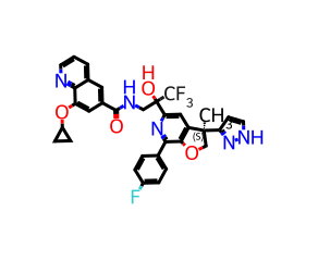 C[C@]1(c2cc[nH]n2)COc2c1cc(C(O)(CNC(=O)c1cc(OC3CC3)c3ncccc3c1)C(F)(F)F)nc2-c1ccc(F)cc1